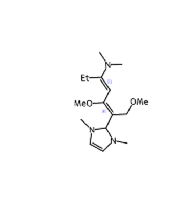 CC/C(=C\C(OC)=C(/COC)C1N(C)C=CN1C)N(C)C